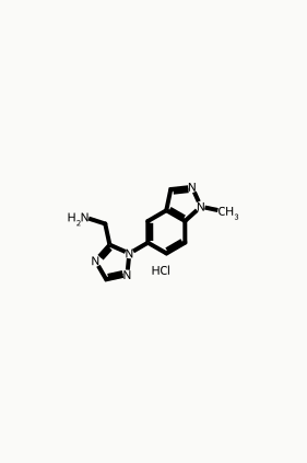 Cl.Cn1ncc2cc(-n3ncnc3CN)ccc21